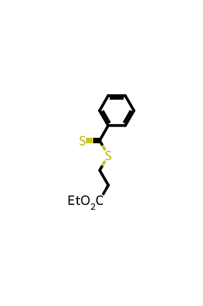 CCOC(=O)CCSC(=S)c1ccccc1